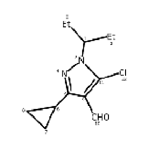 CCC(CC)n1nc(C2CC2)c(C=O)c1Cl